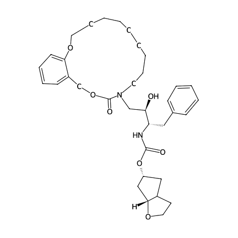 O=C(N[C@@H](Cc1ccccc1)[C@H](O)CN1CCCCCCCCCOc2ccccc2COC1=O)O[C@@H]1CC2CCO[C@@H]2C1